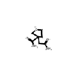 NC(=O)CC1(C(N)=O)CCOC1